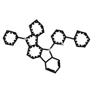 C1=CC2c3ccc4c(c3N(c3cccc(-c5ccccc5)n3)C2C=C1)c1ccccc1n4-c1ccccc1